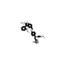 CC#C[C@@H](Cc1nnn[nH]1)c1ccc(OCc2ccc3sc(C)c(-c4ccccc4C)c3c2)cc1